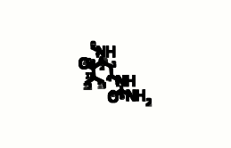 CN[C@@H](CCNC(N)=O)C(=O)C(C)C